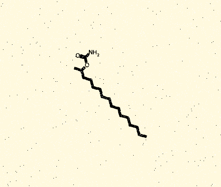 CCCCCCCCCCCCCCC(C)OC(N)=O